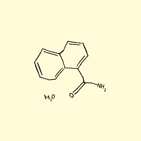 NC(=O)c1cccc2ccccc12.O